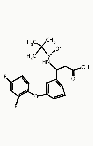 CC(C)(C)[S@@+]([O-])NC(CC(=O)O)c1cccc(Oc2ccc(F)cc2F)c1